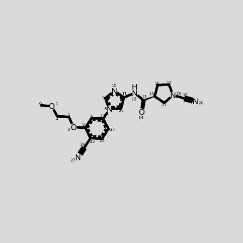 COCCOc1cc(-n2cnc(NC(=O)[C@H]3CCN(C#N)C3)c2)ccc1C#N